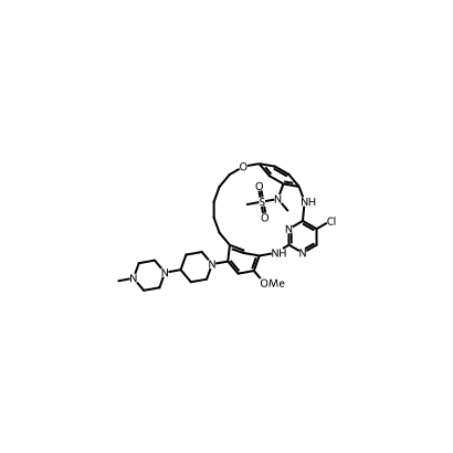 COc1cc(N2CCC(N3CCN(C)CC3)CC2)c2cc1Nc1ncc(Cl)c(n1)Nc1ccc(cc1N(C)S(C)(=O)=O)OCCCCC2